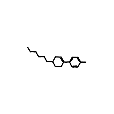 CCCCCCC1CC=C(c2ccc(C)cc2)CC1